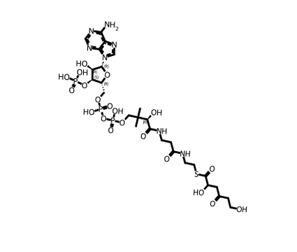 CC(C)(COP(=O)(O)OP(=O)(O)OC[C@H]1O[C@@H](n2cnc3c(N)ncnc32)[C@H](O)[C@@H]1OP(=O)(O)O)[C@@H](O)C(=O)NCCC(=O)NCCSC(=O)C(O)CC(=O)CCO